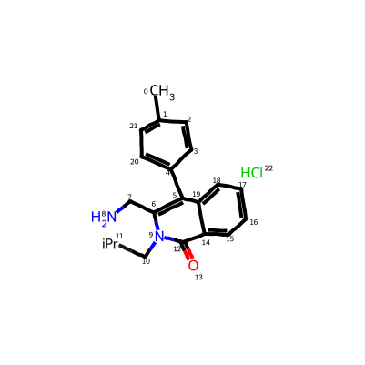 Cc1ccc(-c2c(CN)n(CC(C)C)c(=O)c3ccccc23)cc1.Cl